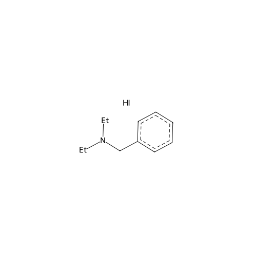 CCN(CC)Cc1ccccc1.I